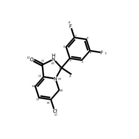 CC1(c2cc(F)cc(F)c2)NC(=O)C2=CC=C(Cl)CN21